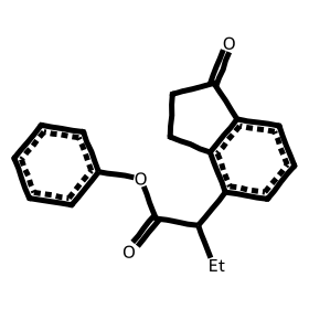 CCC(C(=O)Oc1ccccc1)c1cccc2c1CCC2=O